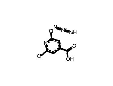 O=C(O)c1cc(Cl)nc(Cl)c1.[N-]=[N+]=N